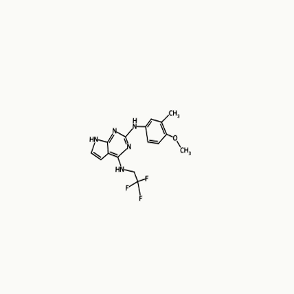 COc1ccc(Nc2nc(NCC(F)(F)F)c3cc[nH]c3n2)cc1C